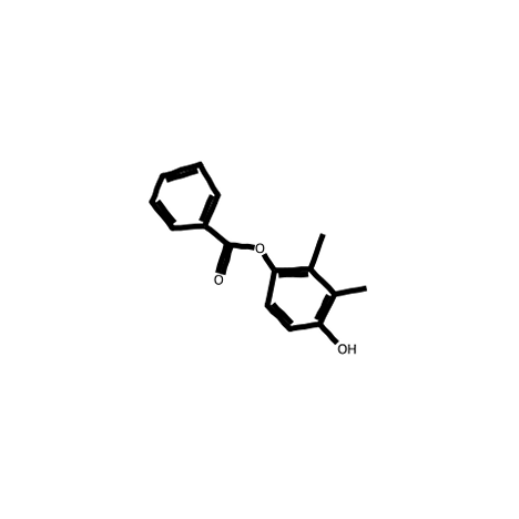 Cc1c(O)ccc(OC(=O)c2ccccc2)c1C